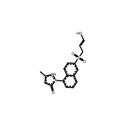 Cc1cc(=O)n(-c2cccc3cc(S(=O)(=O)CC=CO)ccc23)[nH]1